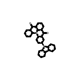 O=c1c2ccccc2n2c3ccc(-n4c5ccccc5c5ccccc54)cc3c(=O)c3cccc1c32